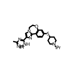 CC(=N)/N=C(\NC(C)C)c1cn2c(n1)-c1ccc(SC3CCN(C(C)C)CC3)cc1OCC2